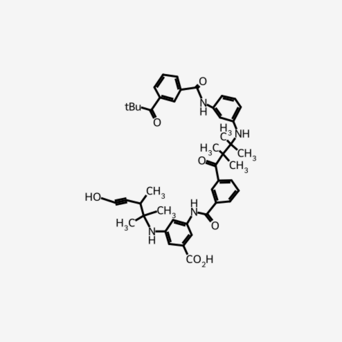 CC(C#CO)C(C)(C)Nc1cc(NC(=O)c2cccc(C(=O)C(C)(C)C(C)(C)Nc3cccc(NC(=O)c4cccc(C(=O)C(C)(C)C)c4)c3)c2)cc(C(=O)O)c1